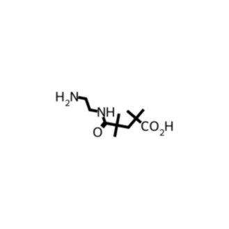 CC(C)(CC(C)(C)C(=O)NCCN)C(=O)O